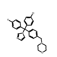 Fc1ccc(C(c2ccc(Cl)cc2)(c2ccc(CN3CCOCC3)cc2)n2ccnc2)cc1